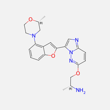 C[C@@H]1CN(c2cccc3oc(-c4cnc5ccc(OC[C@@H](C)N)nn45)cc23)CCO1